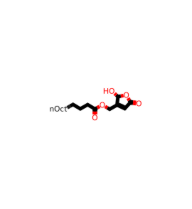 CCCCCCCCCCCC(=O)OCC1=CC(=O)OC1O